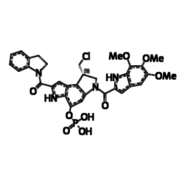 COc1cc2cc(C(=O)N3C[C@@H](CCl)c4c3cc(OP(=O)(O)O)c3[nH]c(C(=O)N5CCc6ccccc65)cc43)[nH]c2c(OC)c1OC